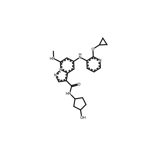 CNc1cc(Nc2cccnc2OC2CC2)cc2c(C(=O)NC3CCC(O)C3)cnn12